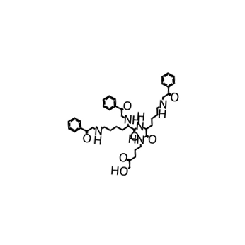 O=C(CO)CCCNC(=O)C(CCCCNCC(=O)c1ccccc1)NC(=O)C(CCCCNCC(=O)c1ccccc1)NCC(=O)c1ccccc1